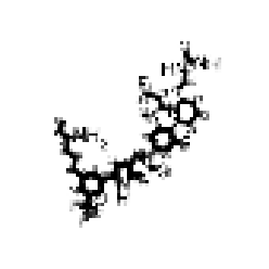 C=C[C@H](N)CCCc1cc(-c2cc3cn(-c4cc(F)c([C@@H]5CCC[C@@H](CCNC(C)=N)N5CCCF)c(SC)c4)c(=O)nc3[nH]2)cc(C(F)(F)F)c1